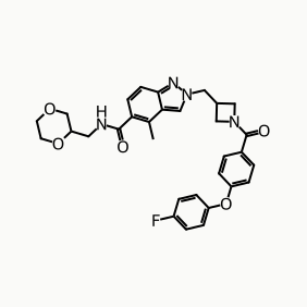 Cc1c(C(=O)NCC2COCCO2)ccc2nn(CC3CN(C(=O)c4ccc(Oc5ccc(F)cc5)cc4)C3)cc12